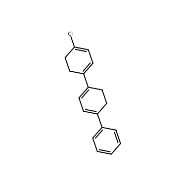 ClC1=CC=C(C2=CC=C(c3ccccc3)CC2)CC1